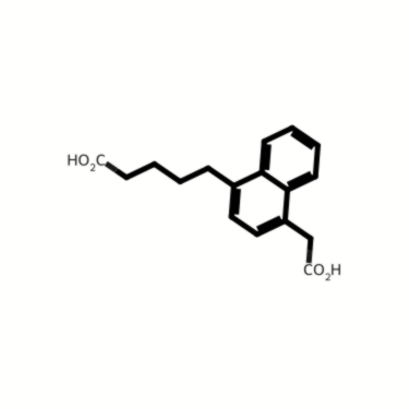 O=C(O)CCCCc1ccc(CC(=O)O)c2ccccc12